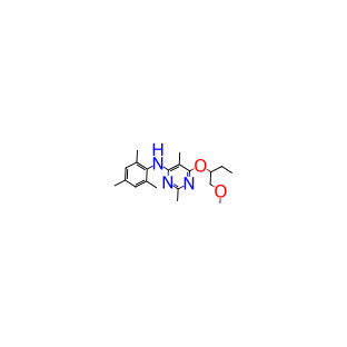 CCC(COC)Oc1nc(C)nc(Nc2c(C)cc(C)cc2C)c1C